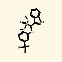 COP(=O)(OC)C(Nc1cccc(C(C)(F)F)c1)c1c[nH]c2ccccc12